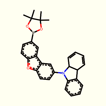 CC1(C)OB(c2ccc3oc4ccc(N5c6ccccc6C6C=CC=CC65)cc4c3c2)OC1(C)C